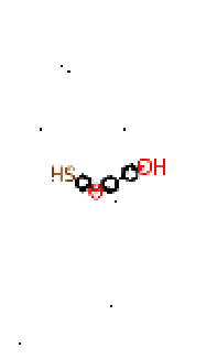 Oc1ccc(-c2ccc(Oc3ccc(S)cc3)cc2)cc1